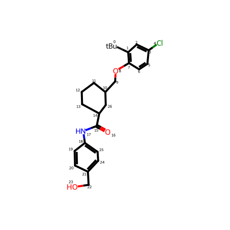 CC(C)(C)c1cc(Cl)ccc1OCC1CCCC(C(=O)Nc2ccc(CO)cc2)C1